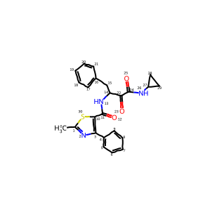 Cc1nc(-c2ccccc2)c(C(=O)NC(Cc2ccccc2)C(=O)C(=O)NC2CC2)s1